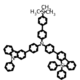 C[Si](C)(C)c1ccc(-c2ccc(N(c3ccc(-c4ccc5c(c4)[Si](c4ccccc4)(c4ccccc4)c4ccccc4-5)cc3)c3ccc(-c4ccc5c(c4)c4ccccc4n5-c4ccccc4)cc3)cc2)cc1